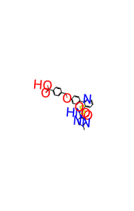 COc1nc(C)cnc1NS(=O)(=O)c1cccnc1-c1ccc(OCc2ccc(C(=O)O)cc2)cc1